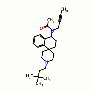 CC#CCN(C(C)=O)[C@H]1CCC2(CCN(CCC(C)(C)C)CC2)c2ccccc21